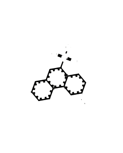 O=S(=O)([O-])c1cc2ccccc2c2ccccc12.[Na+]